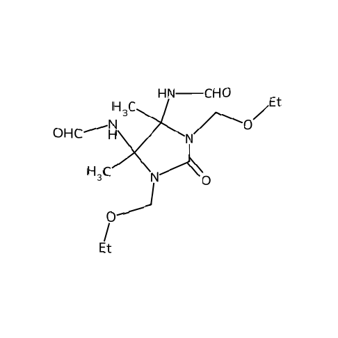 CCOCN1C(=O)N(COCC)C(C)(NC=O)C1(C)NC=O